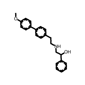 COc1ccc(-c2ccc(CCNCC(O)c3ccccc3)cc2)cc1